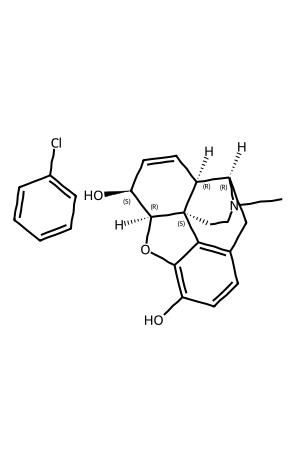 CN1CC[C@]23c4c5ccc(O)c4O[C@H]2[C@@H](O)C=C[C@H]3[C@H]1C5.Clc1ccccc1